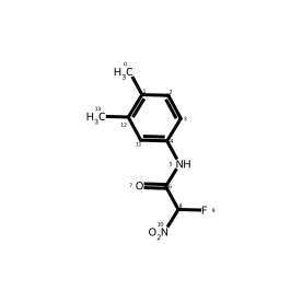 Cc1ccc(NC(=O)C(F)[N+](=O)[O-])cc1C